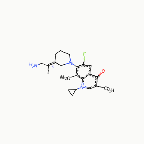 COc1c(N2CCC/C(=C(/C)CN)C2)c(F)cc2c(=O)c(C(=O)O)cn(C3CC3)c12